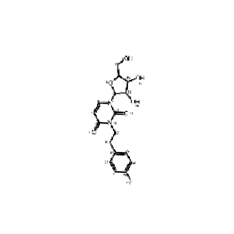 O=c1ccn(C2OC(CO)C(O)C2O)c(=O)n1CCc1ccc(F)cc1